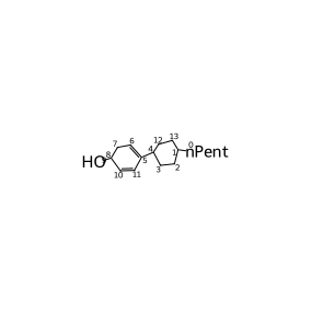 CCCCCC1CCC(C2=CCC(O)C=C2)CC1